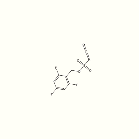 O=C=NS(=O)(=O)OCc1c(F)cc(F)cc1F